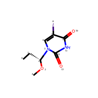 CC[C@@H](OC)n1cc(I)c(=O)[nH]c1=O